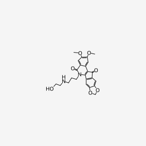 COc1cc2c3c(n(CCCNCCO)c(=O)c2cc1OC)-c1cc2c(cc1C3=O)OCO2